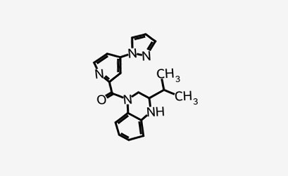 CC(C)C1CN(C(=O)c2cc(-n3cccn3)ccn2)c2ccccc2N1